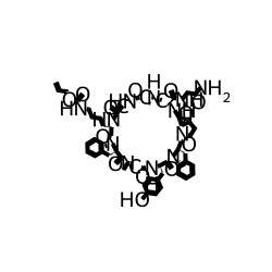 C=CCOC(=O)NCCCC[C@@H]1NC(=O)CNC(=O)CNC[C@@H](C(=O)NCC(N)=O)NC(=O)[C@@H]2CCCN2C(=O)[C@H](Cc2ccccc2)N(C)C(=O)[C@H](Cc2ccc(O)cc2)NC(=O)CN(C)C(=O)[C@H](Cc2ccccc2)N(C)C1=O